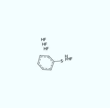 F.F.F.F.F.[S]c1ccccc1